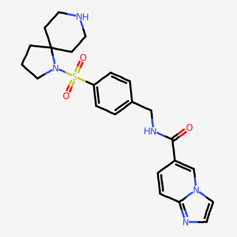 O=C(NCc1ccc(S(=O)(=O)N2CCCC23CCNCC3)cc1)c1ccc2nccn2c1